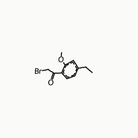 CCc1ccc(C(=O)CBr)c(OC)c1